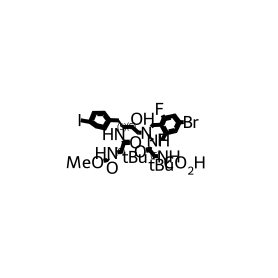 COC(=O)N[C@H](C(=O)N[C@@H](Cc1ccc(I)cc1)[C@@H](O)CN(Cc1c(F)cc(Br)cc1F)NC(=O)[C@@H](NC(=O)O)C(C)(C)C)C(C)(C)C